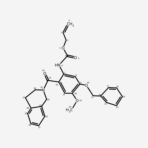 C=CCOC(=O)Nc1cc(OCc2ccccc2)c(OC)cc1C(=O)N1CCc2ccccc2C1